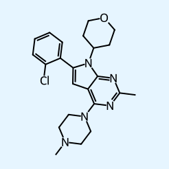 Cc1nc(N2CCN(C)CC2)c2cc(-c3ccccc3Cl)n(C3CCOCC3)c2n1